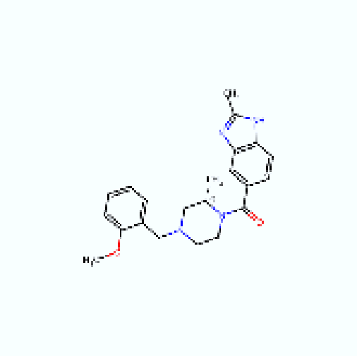 COc1ccccc1CN1CCN(C(=O)c2ccc3[nH]c(C)nc3c2)[C@@H](C)C1